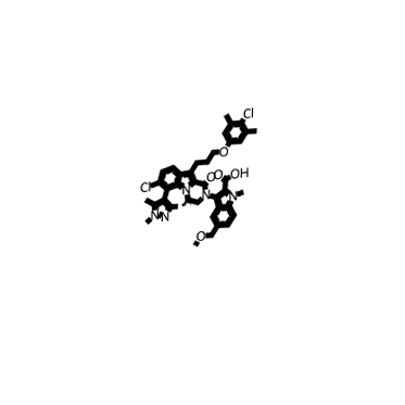 COCc1ccc2c(c1)c(N1C[C@@H](C)n3c(c(CCCOc4cc(C)c(Cl)c(C)c4)c4ccc(Cl)c(-c5c(C)nn(C)c5C)c43)C1=O)c(C(=O)O)n2C